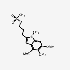 COc1cc2c(cc(CCCOS(C)(=O)=O)n2C)c(OC)c1OC